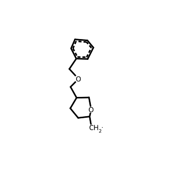 [CH2]C1CCC(COCc2ccccc2)CO1